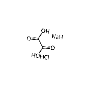 Cl.O=C(O)C(=O)O.[NaH]